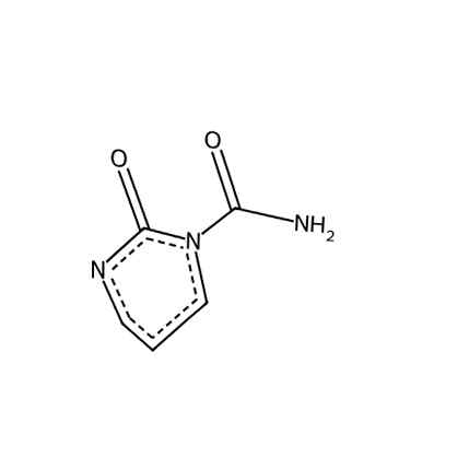 NC(=O)n1cccnc1=O